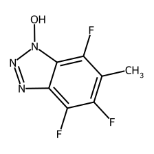 Cc1c(F)c(F)c2nnn(O)c2c1F